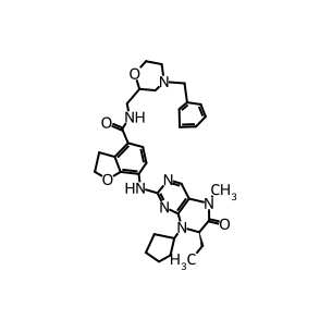 CC[C@@H]1C(=O)N(C)c2cnc(Nc3ccc(C(=O)NCC4CN(Cc5ccccc5)CCO4)c4c3OCC4)nc2N1C1CCCC1